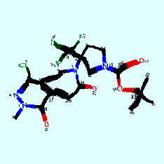 Cn1nc(Cl)c2cn(C3(C(F)(F)F)CCN(C(=O)OC(C)(C)C)C3)c(=O)cc2c1=O